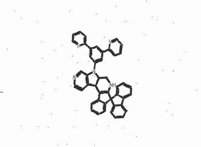 c1ccc(-c2cc(-c3ccccn3)cc(N3c4cnccc4C4C5=C(NCC43)C3(c4ccccc45)c4ccccc4-c4ccccc43)c2)nc1